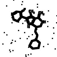 C=C1NCC(CCN2CCCCC2)c2[nH]c(C3=C(F)C=NCC3)c(C)c21